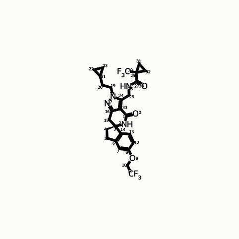 O=C1N[C@@]2(CCc3cc(OCC(F)(F)F)ccc32)Cc2nn(CCC3CC3)c(CNC(=O)C3(C(F)(F)F)CC3)c21